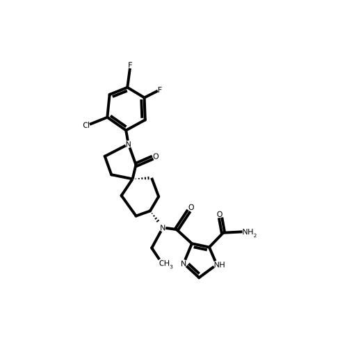 CCN(C(=O)c1nc[nH]c1C(N)=O)[C@H]1CC[C@@]2(CCN(c3cc(F)c(F)cc3Cl)C2=O)CC1